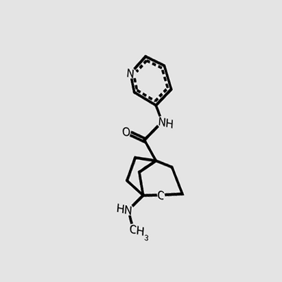 CNC12CCCC(C(=O)Nc3cccnc3)(CC1)C2